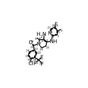 Cc1cc(NC2=C(N)C(C)N(C(=O)c3ccc(Cl)c(C(F)(F)F)c3)CC2)ncc1F